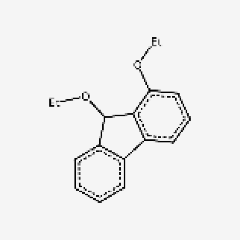 CCOc1cccc2c1C(OCC)c1ccccc1-2